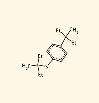 CCC(C)(CC)Sc1ccc(C(C)(CC)CC)cc1